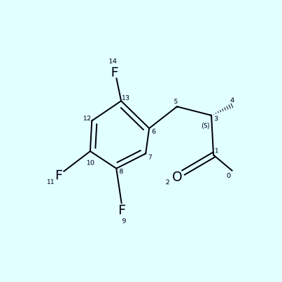 CC(=O)[C@@H](C)Cc1cc(F)c(F)cc1F